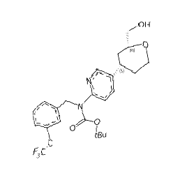 CC(C)(C)OC(=O)N(Cc1cccc(OC(F)(F)F)c1)c1ccc([C@H]2CCO[C@@H](CO)C2)cn1